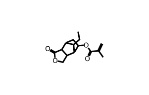 C=C(C)C(=O)OC1CC2C(CC)C1C1COC(=O)C21